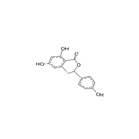 O=C1OC(c2ccc(O)cc2)Cc2cc(O)cc(O)c21